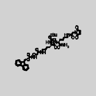 CC(C)(C)OC(=O)N[C@@H](CCCCNC(=O)CONC(=O)OCC1c2ccccc2-c2ccccc21)C(=O)N[C@@H](CCCCNC(=O)CN1C(=O)C=CC1=O)C(N)=O